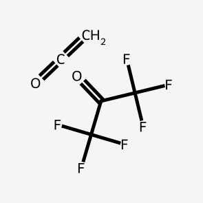 C=C=O.O=C(C(F)(F)F)C(F)(F)F